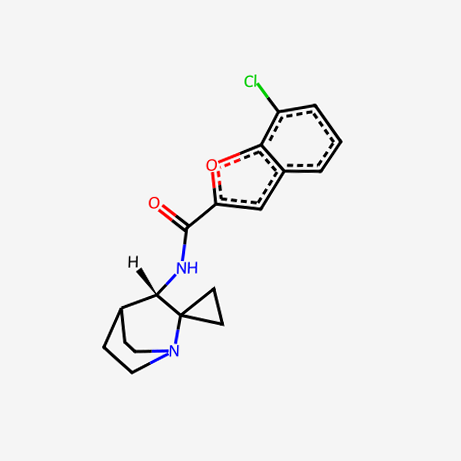 O=C(N[C@H]1C2CCN(CC2)C12CC2)c1cc2cccc(Cl)c2o1